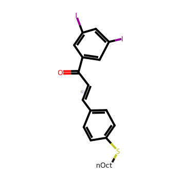 CCCCCCCCSc1ccc(/C=C/C(=O)c2cc(I)cc(I)c2)cc1